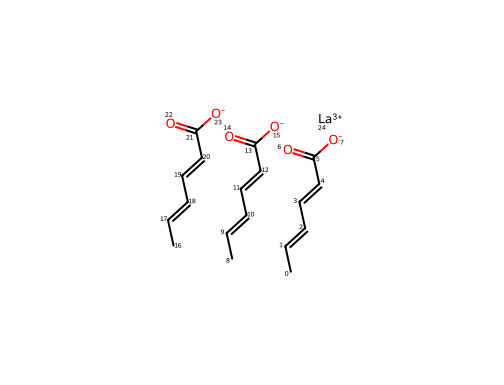 CC=CC=CC(=O)[O-].CC=CC=CC(=O)[O-].CC=CC=CC(=O)[O-].[La+3]